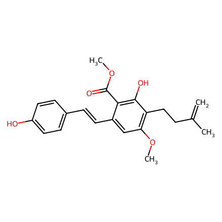 C=C(C)CCc1c(OC)cc(/C=C/c2ccc(O)cc2)c(C(=O)OC)c1O